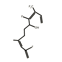 C=C/C(=C(/F)C(O)CC/C(C)=C\C(=C)F)C(F)(F)F